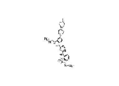 CC(CN=[N+]=[N-])[SH](C)(=O)c1ccccc1Nc1ncnc(Nc2ccc(N3CCC(N4CCN(C)CC4)CC3)cc2OCN=[N+]=[N-])n1